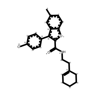 Cc1ccc2oc(C(=O)NCCC3=CCCCC3)c(-c3ccc(Cl)cc3)c2c1